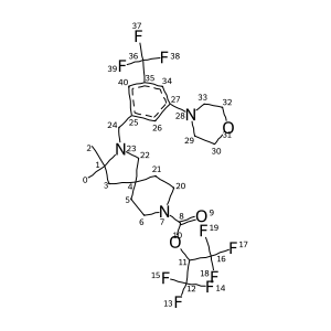 CC1(C)CC2(CCN(C(=O)OC(C(F)(F)F)C(F)(F)F)CC2)CN1Cc1cc(N2CCOCC2)cc(C(F)(F)F)c1